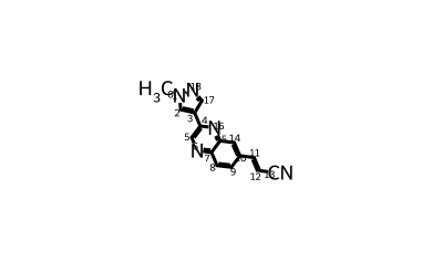 Cn1cc(-c2cnc3ccc(/C=C/C#N)cc3n2)cn1